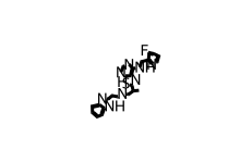 CC(CNCCc1nc2ccccc2[nH]1)c1nc2c(NCc3ncccc3F)ncnc2s1